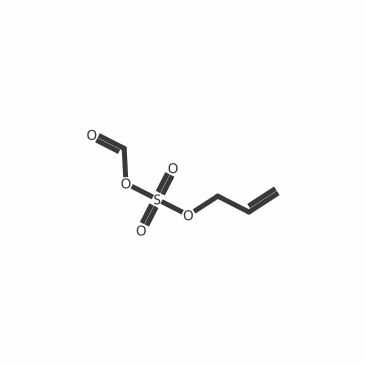 C=CCOS(=O)(=O)OC=O